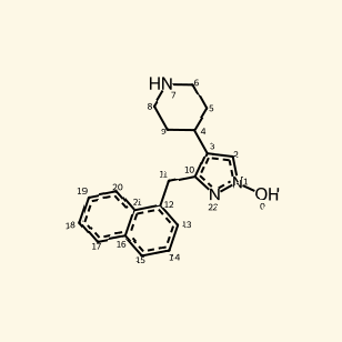 On1cc(C2CCNCC2)c(Cc2cccc3ccccc23)n1